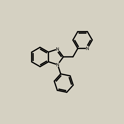 c1ccc(-n2c(Cc3ccccn3)nc3ccccc32)cc1